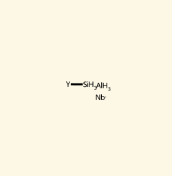 [AlH3].[Nb].[SiH3][Y]